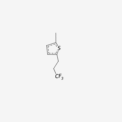 Cc1ccc(CCC(F)(F)F)s1